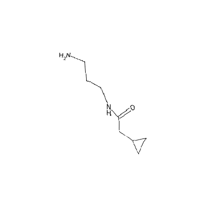 NCCCNC(=O)CC1CC1